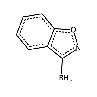 Bc1noc2ccccc12